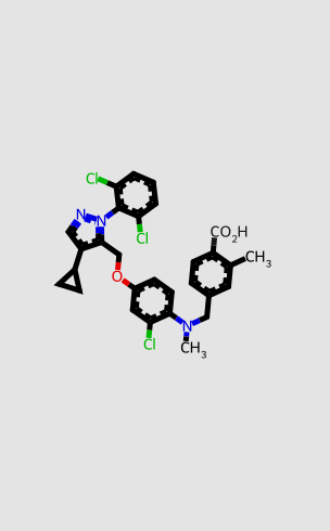 Cc1cc(CN(C)c2ccc(OCc3c(C4CC4)cnn3-c3c(Cl)cccc3Cl)cc2Cl)ccc1C(=O)O